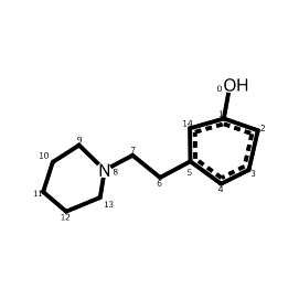 Oc1cccc(CCN2CCCCC2)c1